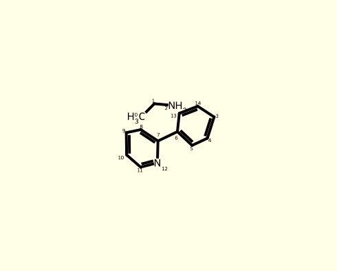 CCN.c1ccc(-c2ccccn2)cc1